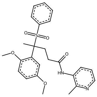 COc1ccc(OC)c(C(C)(CCC(=O)Nc2cccnc2C)S(=O)(=O)c2ccccc2)c1